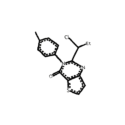 CCC(Cl)c1nc2ccsc2c(=O)n1-c1ccc(C)cc1